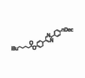 CCCCCCCCCCc1ccc(-c2ncc(-c3ccc(OC(=O)CCCCC(C)CC)cc3)cn2)cc1